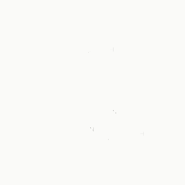 Cc1nc(-c2cc(C(=O)O)ccc2-c2ccccc2)no1